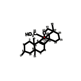 CC1CCC2(C)C3=C(CCC2(C)C1)C12CCCC(C)(COC1)C2CC3C(=O)O